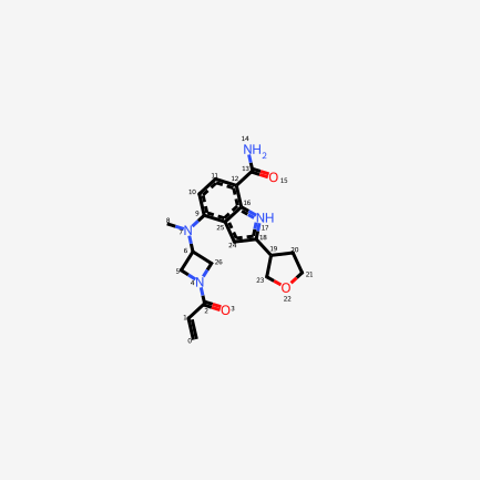 C=CC(=O)N1CC(N(C)c2ccc(C(N)=O)c3[nH]c(C4CCOC4)cc23)C1